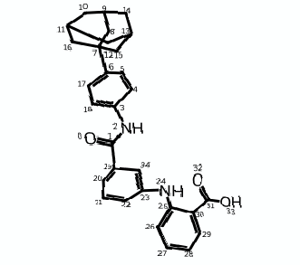 O=C(Nc1ccc(C23CC4CC(CC(C4)C2)C3)cc1)c1cccc(Nc2ccccc2C(=O)O)c1